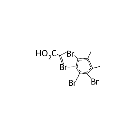 C=C(C)C(=O)O.Cc1c(C)c(Br)c(Br)c(Br)c1Br